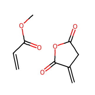 C=C1CC(=O)OC1=O.C=CC(=O)OC